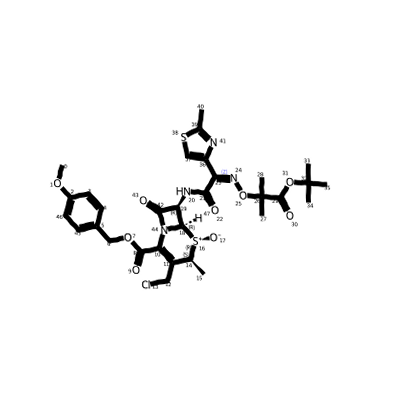 COc1ccc(COC(=O)C2=C(CCl)[C@H](C)[S@+]([O-])[C@@H]3[C@H](NC(=O)/C(=N\OC(C)(C)C(=O)OC(C)(C)C)c4csc(C)n4)C(=O)N23)cc1